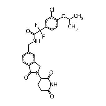 CC(C)Oc1ccc(C(F)(F)C(=O)NCc2ccc3c(c2)CN(C2CCC(=O)NC2=O)C3=O)cc1Cl